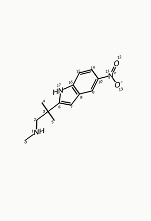 CNCC(C)(C)c1cc2cc([N+](=O)[O-])ccc2[nH]1